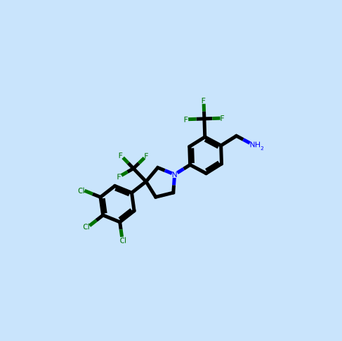 NCc1ccc(N2CCC(c3cc(Cl)c(Cl)c(Cl)c3)(C(F)(F)F)C2)cc1C(F)(F)F